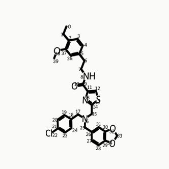 CCc1ccc(CCNC(=O)c2csc(CN(Cc3ccc(Cl)cc3)Cc3ccc4c(c3)OCO4)n2)cc1OC